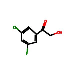 O=C(CO)c1cc(F)cc(Cl)c1